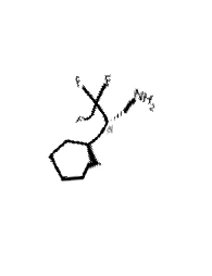 NC[C@H](C1CCCCC1)C(F)(F)F